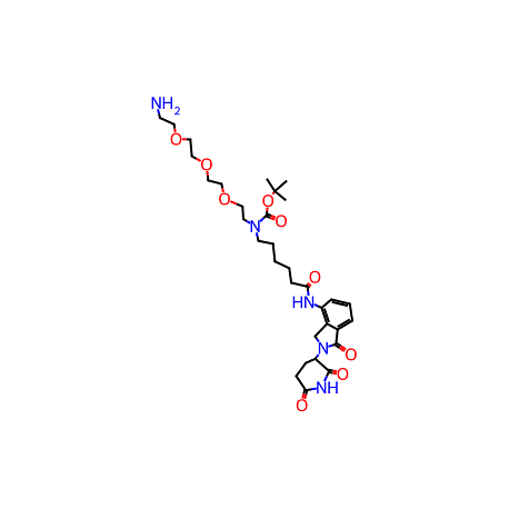 CC(C)(C)OC(=O)N(CCCCCC(=O)Nc1cccc2c1CN(C1CCC(=O)NC1=O)C2=O)CCOCCOCCOCCN